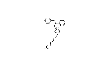 CCCCCCn1cc[n+](CC(Cc2ccccc2)c2ccccc2)c1